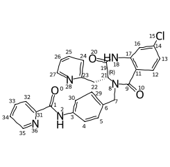 O=C(Nc1ccc(CN2C(=O)c3ccc(Cl)cc3NC(=O)[C@H]2Cc2ccccn2)cc1)c1ccccn1